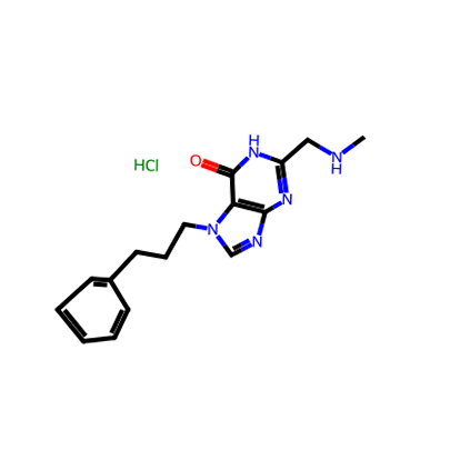 CNCc1nc2ncn(CCCc3ccccc3)c2c(=O)[nH]1.Cl